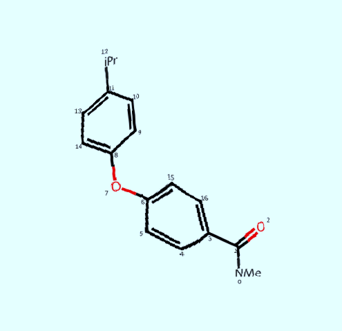 CNC(=O)c1ccc(Oc2ccc(C(C)C)cc2)cc1